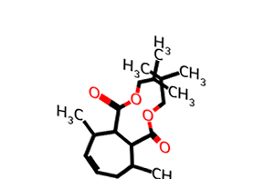 CC(C)COC(=O)C1C(C)C=CCC(C)C1C(=O)OCC(C)C